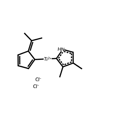 CC(C)=C1C=CC=[C]1[Ti+2][c]1[nH]cc(C)c1C.[Cl-].[Cl-]